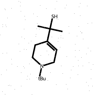 CC(C)(S)C1=CCN(C(C)(C)C)CC1